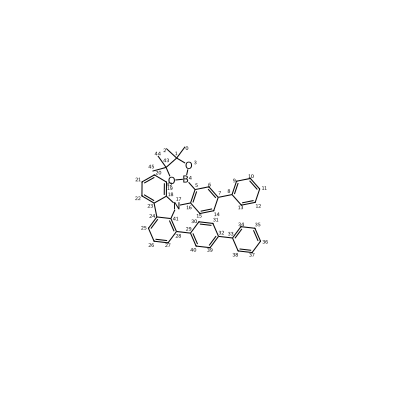 CC1(C)OB(c2cc(-c3ccccc3)ccc2-n2c3ccccc3c3cccc(-c4ccc(-c5ccccc5)cc4)c32)OC1(C)C